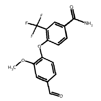 COc1cc(C=O)ccc1Oc1ccc(C(N)=O)cc1C(F)(F)F